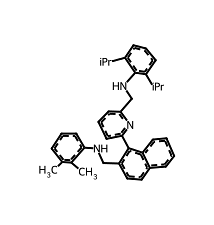 Cc1cccc(NCc2ccc3ccccc3c2-c2cccc(CNc3c(C(C)C)cccc3C(C)C)n2)c1C